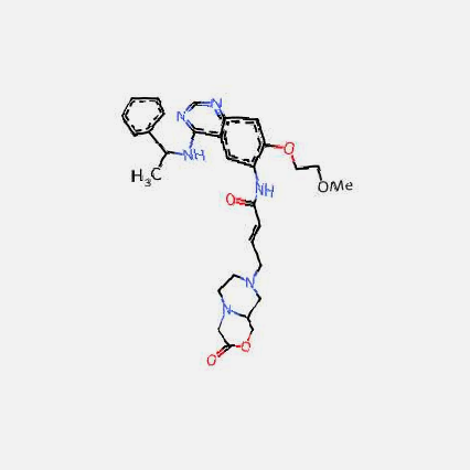 COCCOc1cc2ncnc(NC(C)c3ccccc3)c2cc1NC(=O)C=CCN1CCN2CC(=O)OCC2C1